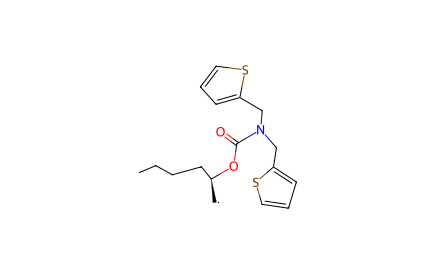 [CH2][C@@H](CCCC)OC(=O)N(Cc1cccs1)Cc1cccs1